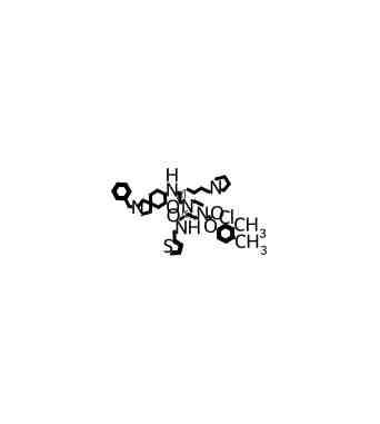 Cc1ccc(OC(=O)N2CCN(C(=O)[C@@H](CCCCN3CCCC3)NC3CCC4(CC3)CCN(Cc3ccccc3)C4)[C@H](C(=O)NCc3cccs3)C2)c(Cl)c1C